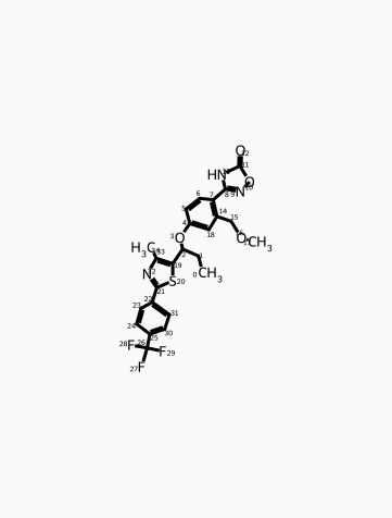 CCC(Oc1ccc(-c2noc(=O)[nH]2)c(COC)c1)c1sc(-c2ccc(C(F)(F)F)cc2)nc1C